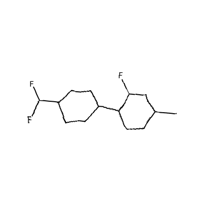 CC1CCC(C2CCC(C(F)F)CC2)C(F)C1